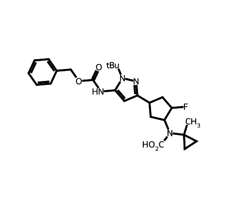 CC1(N(C(=O)O)C2CC(c3cc(NC(=O)OCc4ccccc4)n(C(C)(C)C)n3)CC2F)CC1